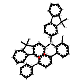 Cc1cccc(-c2ccc(-c3ccccc3)cc2)c1N(c1ccc2c(c1)C(C)(C)c1ccccc1-2)c1ccc2c(c1)C(C)(C)c1ccccc1-2